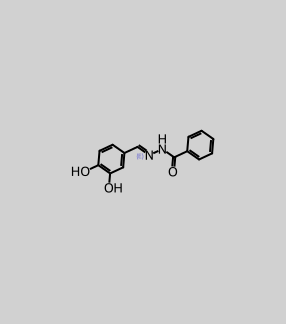 O=C(N/N=C/c1ccc(O)c(O)c1)c1ccccc1